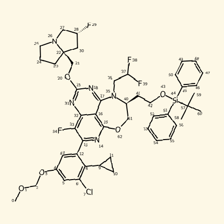 COCOc1cc(Cl)c(C2CC2)c(-c2nc3c4c(nc(OC[C@@]56CCCN5C[C@H](F)C6)nc4c2F)N(CC(F)F)[C@@H](CCO[Si](c2ccccc2)(c2ccccc2)C(C)(C)C)CO3)c1